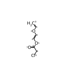 C=COC=COC(=O)CCl